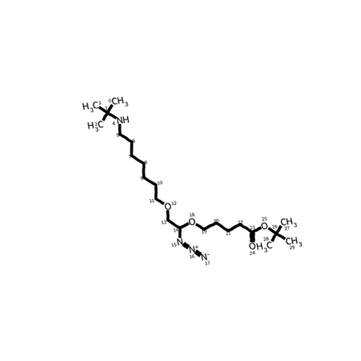 CC(C)(C)NCCCCCCCOCC(N=[N+]=[N-])OCCCCC(=O)OC(C)(C)C